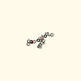 O=C(NS(=O)(=O)c1ccc(NCC2CCOCC2)c([N+](=O)[O-])c1)c1ccc(N2CCC3(CC2)CC(N2CCCC[C@]24CCOc2ccccc24)C3)cc1N1c2cc3cc[nH]c3nc2O[C@H]2COCC[C@@H]21